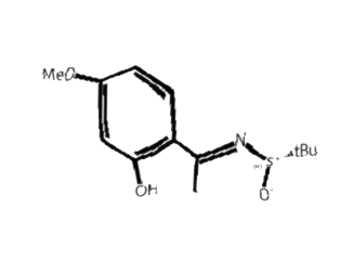 COc1ccc(C(C)=N[S@@+]([O-])C(C)(C)C)c(O)c1